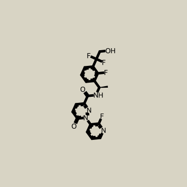 C[C@@H](NC(=O)c1ccc(=O)n(-c2cccnc2F)n1)c1cccc(C(F)(F)CO)c1F